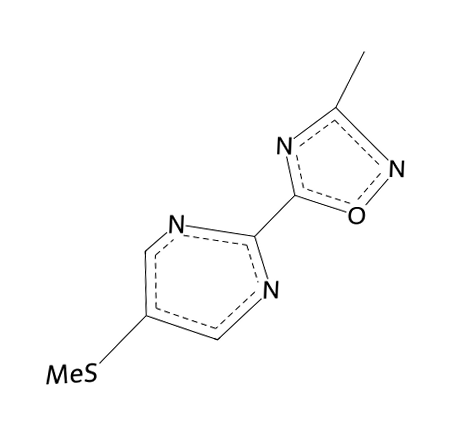 CSc1cnc(-c2nc(C)no2)nc1